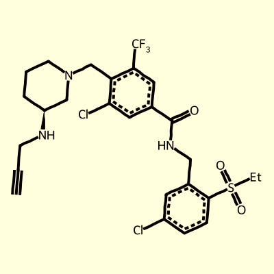 C#CCN[C@H]1CCCN(Cc2c(Cl)cc(C(=O)NCc3cc(Cl)ccc3S(=O)(=O)CC)cc2C(F)(F)F)C1